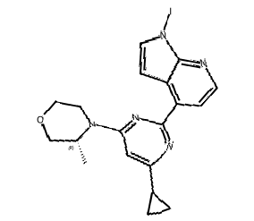 C[C@@H]1COCCN1c1cc(C2CC2)nc(-c2ccnc3c2ccn3I)n1